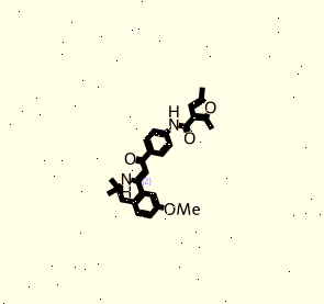 COc1ccc2c(c1)/C(=C/C(=O)c1ccc(NC(=O)c3cc(C)oc3C)cc1)NC(C)(C)C2